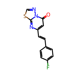 O=c1cc(/C=C/c2ccc(F)cc2)nc2scnn12